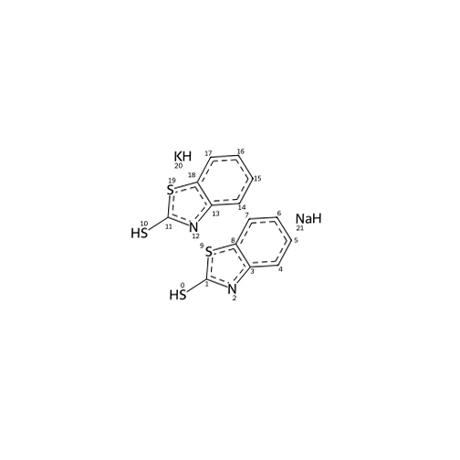 Sc1nc2ccccc2s1.Sc1nc2ccccc2s1.[KH].[NaH]